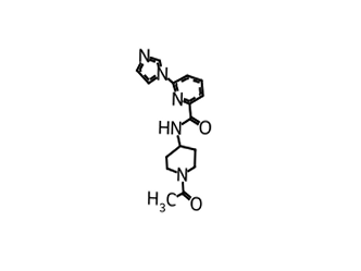 CC(=O)N1CCC(NC(=O)c2cccc(-n3ccnc3)n2)CC1